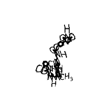 Cc1nc(Nc2ncc(C(=O)Nc3c(C)cccc3Cl)s2)cc(N2CC3[C@@H]2CN3CCCNC(=O)COc2ccc(N3CCC(=O)NC3=O)cc2)n1